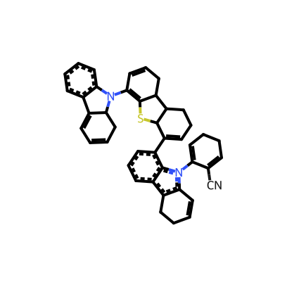 N#CC1=CCCC=C1n1c2c(c3cccc(C4=CCCC5C6CC=CC(N7c8ccccc8C8=CC=CCC87)=C6SC45)c31)CCC=C2